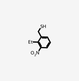 CCc1c(CS)cccc1[N+](=O)[O-]